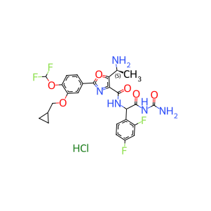 C[C@H](N)c1oc(-c2ccc(OC(F)F)c(OCC3CC3)c2)nc1C(=O)NC(C(=O)NC(N)=O)c1ccc(F)cc1F.Cl